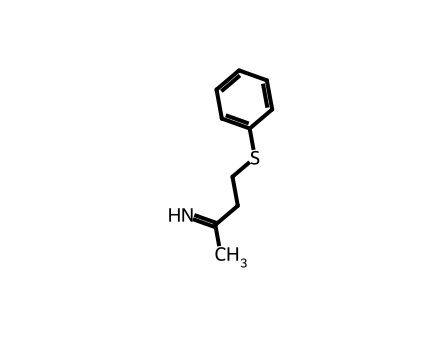 CC(=N)CCSc1ccccc1